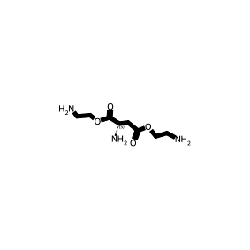 NCCOC(=O)C[C@H](N)C(=O)OCCN